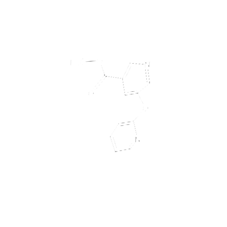 COC(=O)c1cncc(Oc2cc[c]cn2)c1